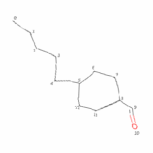 CCCCCC1CCC([C]=O)CC1